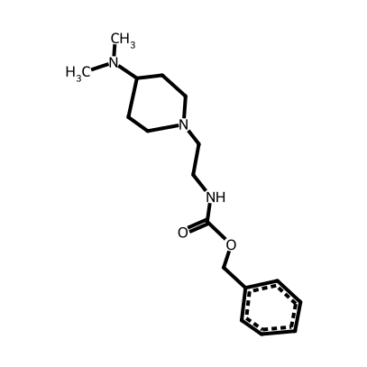 CN(C)C1CCN(CCNC(=O)OCc2ccccc2)CC1